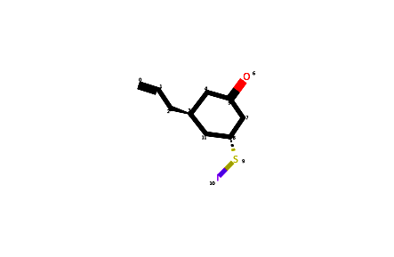 C=CC[C@H]1CC(=O)C[C@H](SI)C1